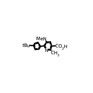 CNc1cc(C(=O)O)c(C)nc1-c1ccc(C(C)(C)C)cc1